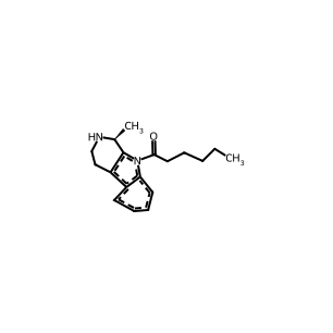 CCCCCC(=O)n1c2c(c3ccccc31)CCN[C@H]2C